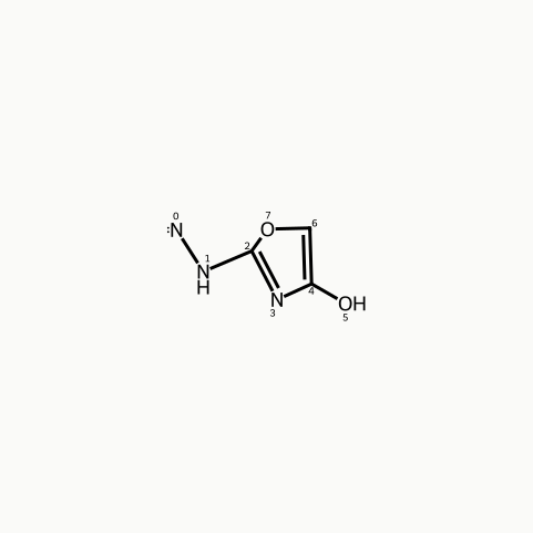 [N]Nc1nc(O)co1